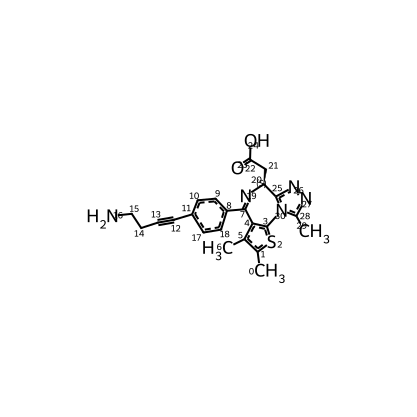 Cc1sc2c(c1C)C(c1ccc(C#CCCN)cc1)=N[C@@H](CC(=O)O)c1nnc(C)n1-2